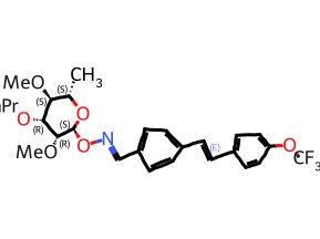 CCCO[C@@H]1[C@@H](OC)[C@H](C)O[C@@H](ON=Cc2ccc(/C=C/c3ccc(OC(F)(F)F)cc3)cc2)[C@@H]1OC